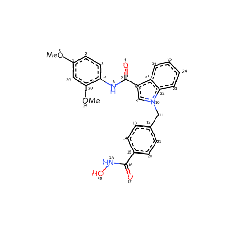 COc1ccc(NC(=O)c2cn(Cc3ccc(C(=O)NO)cc3)c3ccccc23)c(OC)c1